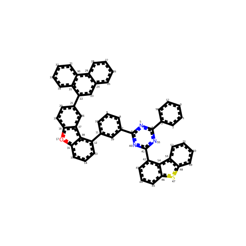 c1ccc(-c2nc(-c3cccc(-c4cccc5oc6ccc(-c7cc8ccccc8c8ccccc78)cc6c45)c3)nc(-c3cccc4sc5ccccc5c34)n2)cc1